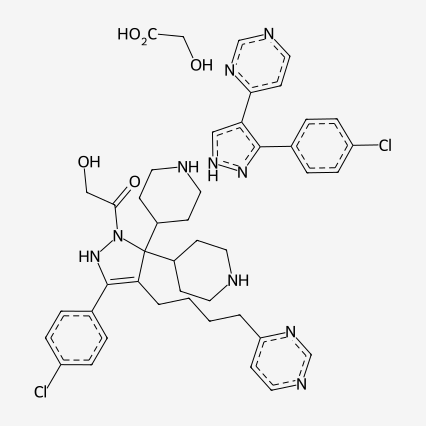 Clc1ccc(-c2n[nH]cc2-c2ccncn2)cc1.O=C(CO)N1NC(c2ccc(Cl)cc2)=C(CCCCc2ccncn2)C1(C1CCNCC1)C1CCNCC1.O=C(O)CO